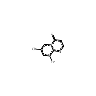 O=c1ccnc2c(Br)cc(Cl)cn12